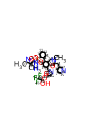 Cc1noc(NS(=O)(=O)c2ccccc2-c2ccc(-c3ncco3)cc2CN(C)C(=O)Cc2cccnc2)c1C.O=C(O)C(F)(F)F